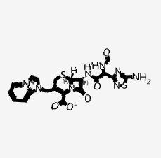 Nc1nc(C(NC=O)C(=O)N[C@@H]2C(=O)N3C(C(=O)[O-])=C(Cn4cc[n+]5ccccc45)CS[C@H]23)ns1